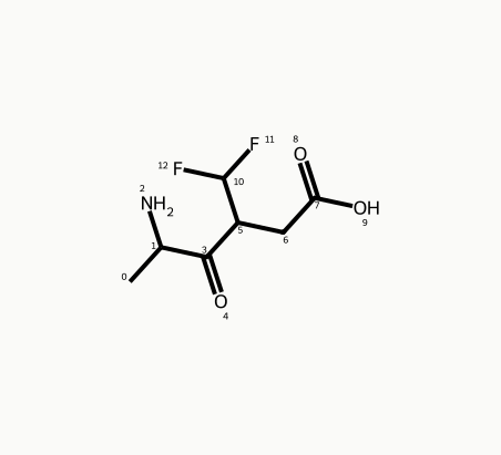 CC(N)C(=O)C(CC(=O)O)C(F)F